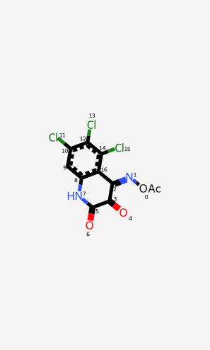 CC(=O)ON=C1C(=O)C(=O)Nc2cc(Cl)c(Cl)c(Cl)c21